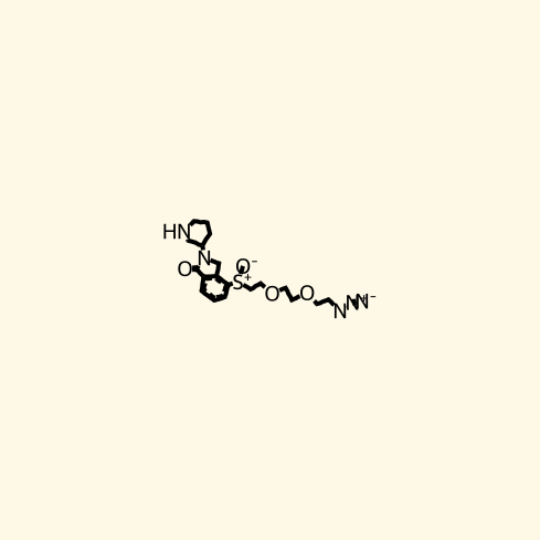 [N-]=[N+]=NCCOCCOCC[S+]([O-])c1cccc2c1CN(C1CCCNC1)C2=O